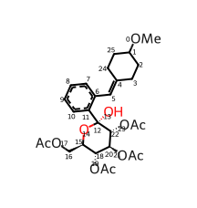 COC1CCC(=Cc2ccccc2[C@]2(O)O[C@H](COC(C)=O)[C@@H](OC(C)=O)[C@H](OC(C)=O)[C@H]2OC(C)=O)CC1